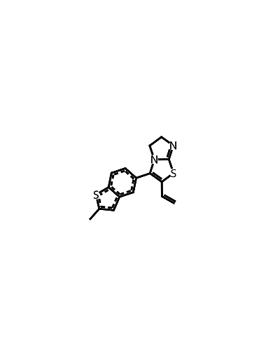 C=CC1=C(c2ccc3sc(C)cc3c2)N2CCN=C2S1